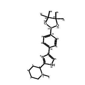 CN1CCCCC1c1nc(-c2ccc(B3OC(C)(C)C(C)(C)O3)cc2)c[nH]1